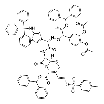 CC(=O)Oc1ccc(C(O/N=C(\C(=O)N[C@@H]2C(=O)N3C(C(=O)OC(c4ccccc4)c4ccccc4)=C(/C=C/OS(=O)(=O)c4ccc(C)cc4)CS[C@H]23)c2csc(NC(c3ccccc3)(c3ccccc3)c3ccccc3)n2)C(=O)OC(c2ccccc2)c2ccccc2)cc1OC(C)=O